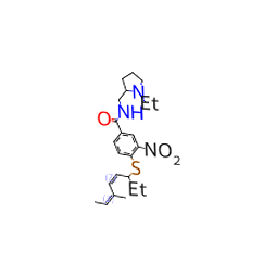 C/C=C(C)\C=C/C(CC)Sc1ccc(C(=O)NCC2CCCN2CC)cc1[N+](=O)[O-]